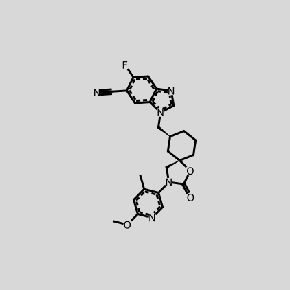 COc1cc(C)c(N2C[C@@]3(CCC[C@H](Cn4cnc5cc(F)c(C#N)cc54)C3)OC2=O)cn1